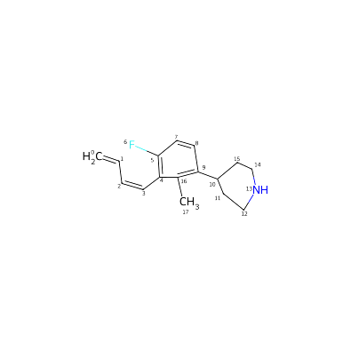 C=C/C=C\c1c(F)ccc(C2CCNCC2)c1C